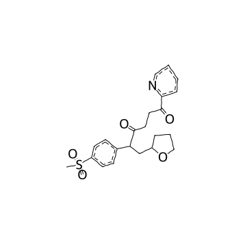 CS(=O)(=O)c1ccc(C(CC2CCCO2)C(=O)CCC(=O)c2ccccn2)cc1